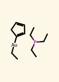 CCP(CC)CC.C[CH2][Au][C]1=CC=CC1